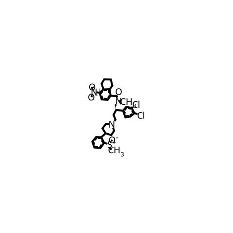 CN(C[C@@H](CCN1CCC(c2ccccc2[S+](C)[O-])CC1)c1ccc(Cl)c(Cl)c1)C(=O)c1ccc([N+](=O)[O-])c2c1CCCC2